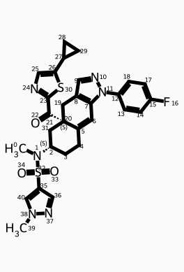 CN([C@H]1CCC2=Cc3c(cnn3-c3ccc(F)cc3)C[C@]2(C(=O)c2ncc(C3CC3)s2)C1)S(=O)(=O)c1cnn(C)c1